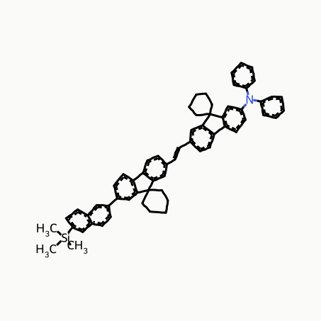 C[Si](C)(C)c1ccc2cc(-c3ccc4c(c3)C3(CCCCC3)c3cc(/C=C/c5ccc6c(c5)C5(CCCCC5)c5cc(N(c7ccccc7)c7ccccc7)ccc5-6)ccc3-4)ccc2c1